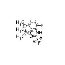 COc1ccc(I)c(NC(=O)C(F)(F)F)c1OC(C)C